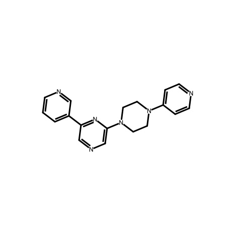 c1cncc(-c2cncc(N3CCN(c4ccncc4)CC3)n2)c1